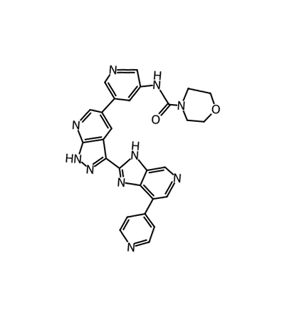 O=C(Nc1cncc(-c2cnc3[nH]nc(-c4nc5c(-c6ccncc6)cncc5[nH]4)c3c2)c1)N1CCOCC1